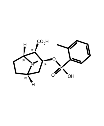 Cc1ccccc1P(=O)(O)O[C@H]1C[C@@H]2CC[C@H]([C@H]1C(=O)O)N2C